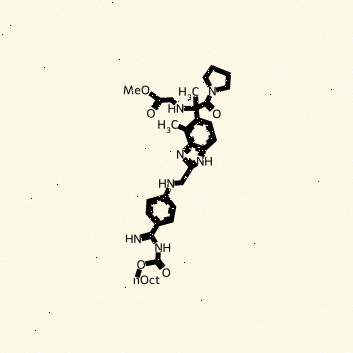 CCCCCCCCOC(=O)NC(=N)c1ccc(NCc2nc3c(C)c(C(C)(NCC(=O)OC)C(=O)N4CCCC4)ccc3[nH]2)cc1